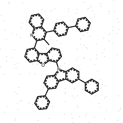 Cc1c(-c2cccc3oc4c(-n5c6ccc(-c7ccccc7)cc6c6cc(-c7ccccc7)ccc65)cccc4c23)nc2ccccc2c1-c1ccc(-c2ccccc2)cc1